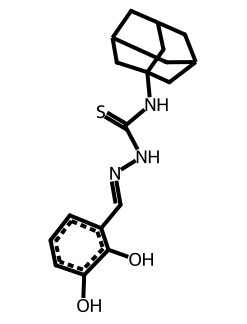 Oc1cccc(/C=N/NC(=S)NC23CC4CC(CC(C4)C2)C3)c1O